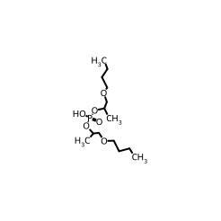 CCCCOCC(C)OP(=O)(O)OC(C)COCCCC